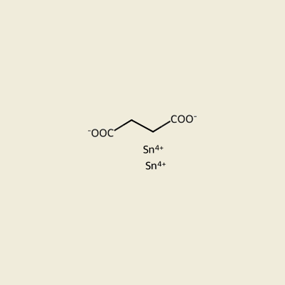 O=C([O-])CCC(=O)[O-].[Sn+4].[Sn+4]